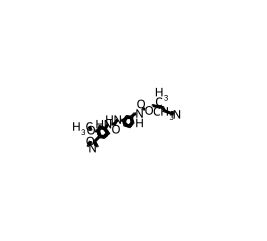 COc1cc(NC(=O)Nc2cccc(CNC(=O)OCC(C)(C)CCC#N)c2)ccc1-c1cnco1